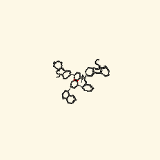 c1cc(-c2ccccc2N(c2ccc(-c3ccc4sc5ccccc5c4c3)cc2)c2ccc3sc4ccccc4c3c2)cc(-c2cccc3ccccc23)c1